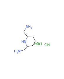 Cl.Cl.Cl.NCC1CCCC(CN)N1